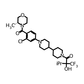 CC(C)C(O)(C(=O)N1CCC(C2CCN(c3ccc(C(=O)N4CCOC[C@H]4C)c(Cl)c3)CC2)CC1)C(F)(F)F